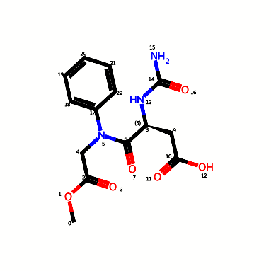 COC(=O)CN(C(=O)[C@H](CC(=O)O)NC(N)=O)c1ccccc1